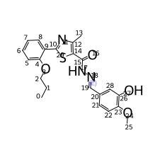 CCCOc1ccccc1-c1nc(C)c(C(=O)N/N=C/c2ccc(OC)c(O)c2)s1